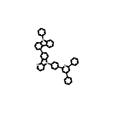 c1ccc(-c2cc(-c3ccccc3)nc(-c3ccc(-n4c5ccc(-c6cccc7c6c6ccccc6n7-c6ccccc6)cc5c5ncccc54)cc3)c2)cc1